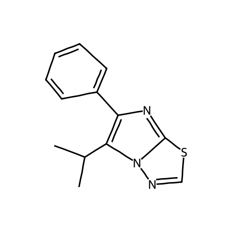 CC(C)c1c(-c2ccccc2)nc2scnn12